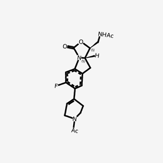 CC(=O)NC[C@@H]1OC(=O)N2c3cc(F)c(C4=CCN(C(C)=O)CC4)cc3C[C@@H]12